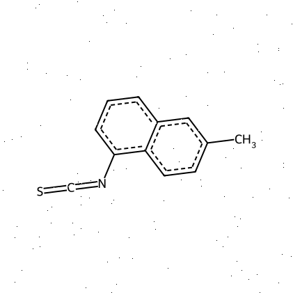 Cc1ccc2c(N=C=S)cccc2c1